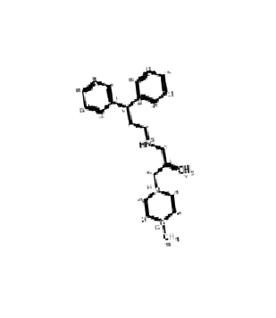 C=C(CNCCC(c1ccccc1)c1ccccc1)CN1CCN(C)CC1